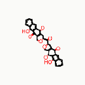 O=C1C2=C(COC(C(=O)C3CC4=C(CO3)C(=O)c3c(cc5ccccc5c3O)C4=O)C2)C(=O)c2c1cc1ccccc1c2O